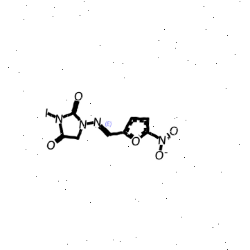 O=C1CN(/N=C/c2ccc([N+](=O)[O-])o2)C(=O)N1I